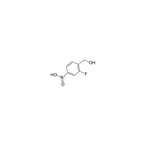 O=[N+](O)c1ccc(CO)c(F)c1